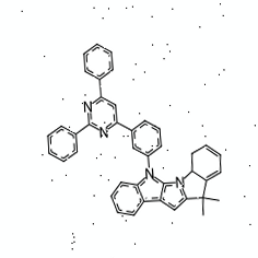 CC1(C)C2=CC=CCC2n2c1cc1c3ccccc3n(-c3cccc(-c4cc(-c5ccccc5)nc(-c5ccccc5)n4)c3)c12